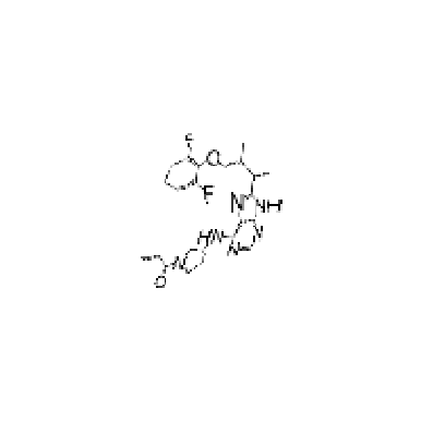 C=CC(=O)N1CCC(Nc2ncnc3[nH]c(C(C)C(C)COC4=C(F)CCC=C4F)nc23)C1